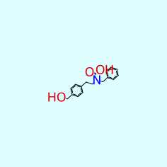 O=C(O)N(CCc1ccc(CO)cc1)Cc1ccccc1